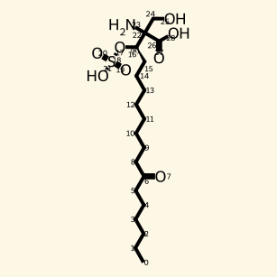 CCCCCCC(=O)CCCCCCCC[C@@H](OS(=O)(=O)O)C(N)(CO)C(=O)O